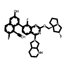 C#Cc1c(F)ccc2cc(O)cc(-c3ccc4c(N5CC6CCCNC6C5)nc(OC[C@@]56CCCN5C[C@H](F)C6)nc4c3F)c12